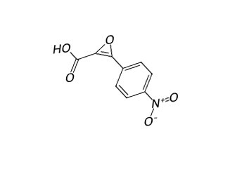 O=C(O)C1=C(c2ccc([N+](=O)[O-])cc2)O1